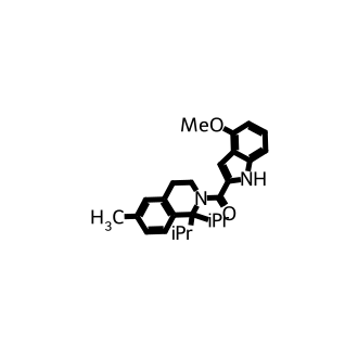 COc1cccc2[nH]c(C(=O)N3CCc4cc(C)ccc4C3(C(C)C)C(C)C)cc12